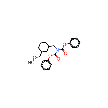 N#COCC1CCCC(CN(C(=O)Oc2ccccc2)C(=O)Oc2ccccc2)C1